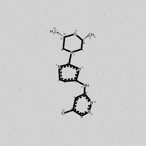 C[C@@H]1CN(c2nccc(Nc3cc(Cl)cnn3)n2)C[C@H](C)O1